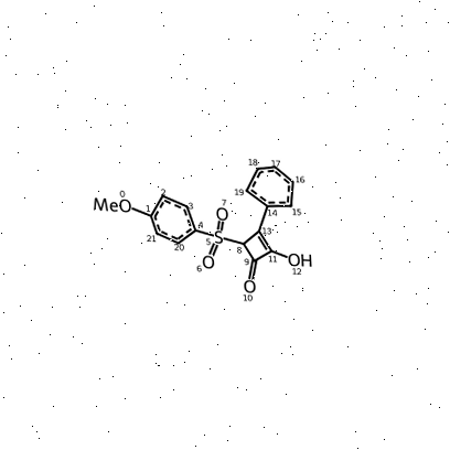 COc1ccc(S(=O)(=O)C2C(=O)C(O)=C2c2ccccc2)cc1